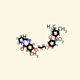 Cc1ccc(Oc2cc(OCCCOc3cc4c(cc3C)C(=O)N3CCC[C@H]3C=N4)ccc2[N+](=O)[O-])cc1C